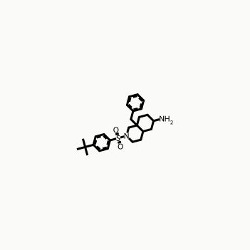 CC(C)(C)c1ccc(S(=O)(=O)N2CCC3CC(N)CCC3(Cc3ccccc3)C2)cc1